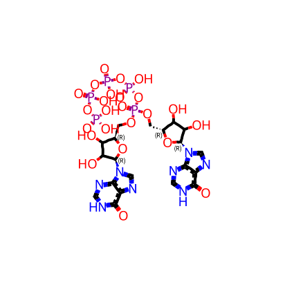 O=c1[nH]cnc2c1ncn2[C@@H]1O[C@H](COP(=O)(OC[C@H]2O[C@@H](n3cnc4c(=O)[nH]cnc43)C(O)C2O)OP(=O)(O)OP(=O)(O)OP(=O)(O)OP(=O)(O)O)C(O)C1O